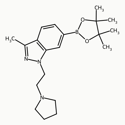 Cc1nn(CCN2CCCC2)c2cc(B3OC(C)(C)C(C)(C)O3)ccc12